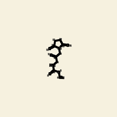 CC(C)(C)OC(=O)NCC(=O)CN1C(=O)CCC1=O